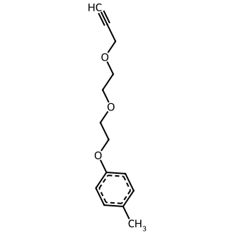 C#CCOCCOCCOc1ccc(C)cc1